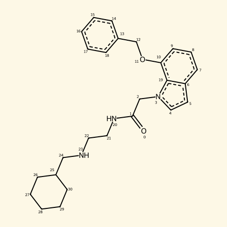 O=C(Cn1ccc2cccc(OCc3ccccc3)c21)NCCNCC1CCCCC1